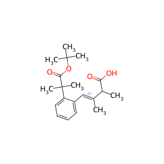 C/C(=C\c1ccccc1C(C)(C)C(=O)OC(C)(C)C)C(C)C(=O)O